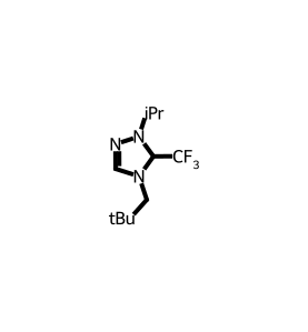 CC(C)N1N=CN(CC(C)(C)C)C1C(F)(F)F